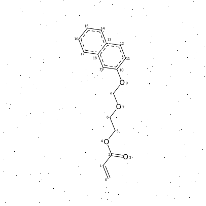 C=CC(=O)OCCOCOc1ccc2ccccc2c1